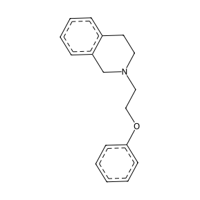 c1ccc(OCCN2CCc3ccccc3C2)cc1